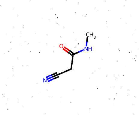 CNC(=O)[C]C#N